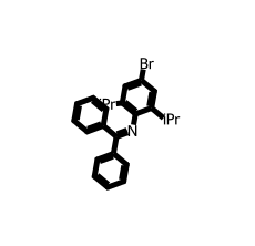 CC(C)c1cc(Br)cc(C(C)C)c1N=C(c1ccccc1)c1ccccc1